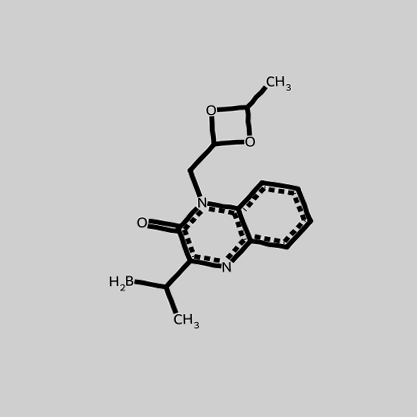 BC(C)c1nc2ccccc2n(CC2OC(C)O2)c1=O